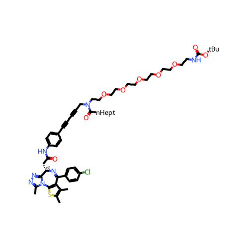 CCCCCCCC(=O)N(CC#CC#Cc1ccc(NC(=O)C[C@@H]2N=C(c3ccc(Cl)cc3)c3c(sc(C)c3C)-n3c(C)nnc32)cc1)CCOCCOCCOCCOCCOCCNC(=O)OC(C)(C)C